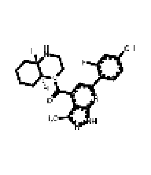 Cc1n[nH]c2nc(-c3ccc(O)cc3F)cc(C(=O)N3CCN[C@H]4CCCC[C@@H]43)c12